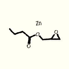 CCCC(=O)OCC1CO1.[Zn]